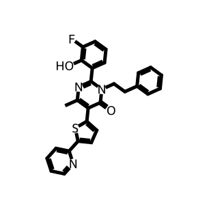 Cc1nc(-c2cccc(F)c2O)n(CCc2ccccc2)c(=O)c1-c1ccc(-c2ccccn2)s1